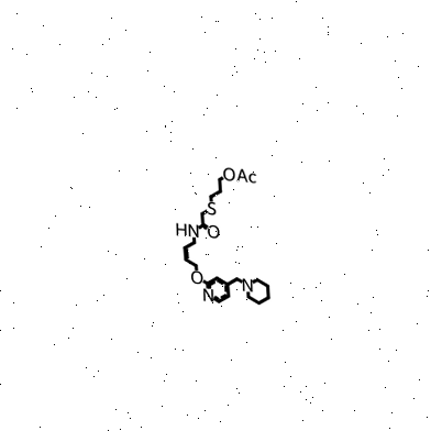 CC(=O)OCCCSCC(=O)NC/C=C\COc1cc(CN2CCCCC2)ccn1